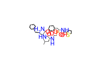 CC(C)C[C@H](NC(=O)CP(=O)(O)C(Cc1ccccc1)NC(=O)c1cccs1)C(=O)N[C@@H](CC=Cc1ccccc1)C(N)=O